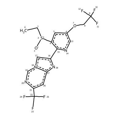 CC[S+]([O-])c1cc(OCC(F)(F)F)cnc1-c1cn2cnc(C(F)(F)F)cc2n1